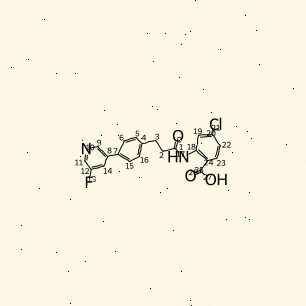 O=C(CCc1ccc(-c2cncc(F)c2)cc1)Nc1cc(Cl)ccc1C(=O)O